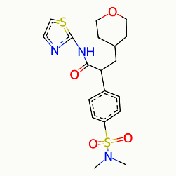 CN(C)S(=O)(=O)c1ccc(C(CC2CCOCC2)C(=O)Nc2nccs2)cc1